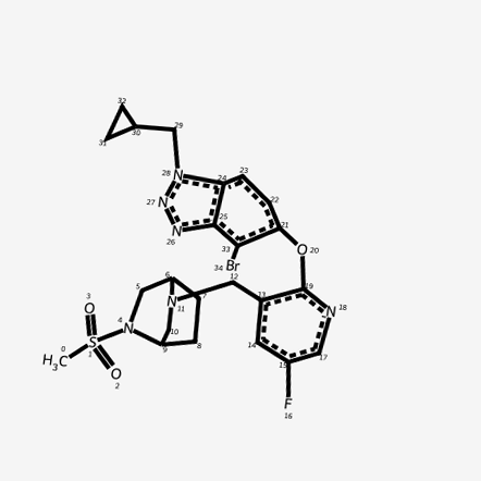 CS(=O)(=O)N1CC2CCC1CN2Cc1cc(F)cnc1Oc1ccc2c(nnn2CC2CC2)c1Br